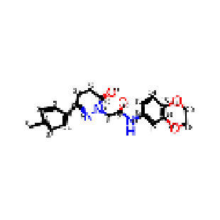 Cc1ccc(C2=NN(CC(=O)Nc3ccc4c(c3)OCCO4)C(=O)CC2)cc1